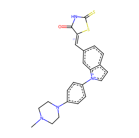 CN1CCN(c2ccc(-n3ccc4ccc(/C=C5\SC(=S)NC5=O)cc43)cc2)CC1